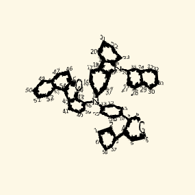 c1ccc(-c2ccccc2-c2ccc(N(c3ccc4c5ccccc5n(-c5ccc6ccccc6c5)c4c3)c3cccc4c3oc3ccc5ccccc5c34)cc2)cc1